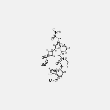 CCCCCOc1cc(N2CCCN(Cc3ccnc4c3c(C3CN(C(=O)OC(C)(C)C)C3)cn4CC(=O)N(C)C)C2=O)ccc1OC